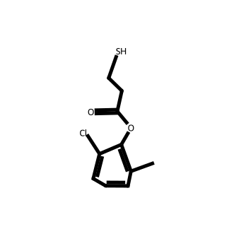 Cc1cccc(Cl)c1OC(=O)CCS